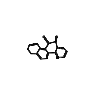 O=C1C(=O)c2c(ccc3c2C=CCC3)-c2ncccc21